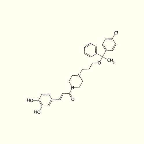 CC(OCCCN1CCN(C(=O)C=Cc2ccc(O)c(O)c2)CC1)(c1ccccc1)c1ccc(Cl)cc1